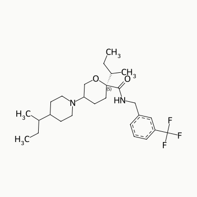 CCC(C)C1CCN(C2CC[C@@](C(=O)NCc3cccc(C(F)(F)F)c3)(C(C)CC)OC2)CC1